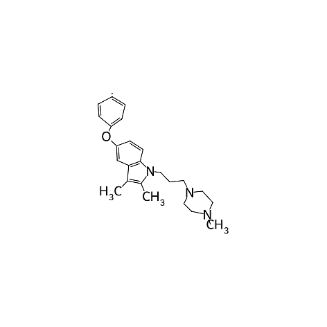 Cc1c(C)n(CCCN2CCN(C)CC2)c2ccc(Oc3cc[c]cc3)cc12